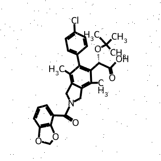 Cc1c2c(c(C)c([C@H](OC(C)(C)C)C(=O)O)c1-c1ccc(Cl)cc1)CN(C(=O)c1cccc3c1OCO3)C2